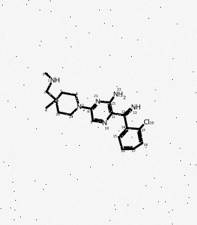 CNCC1(C)CCN(c2cnc(C(=N)c3ccccc3Cl)c(N)n2)CC1